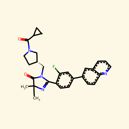 CC1(C)N=C(c2ccc(-c3ccc4ncccc4c3)cc2F)N(C[C@@H]2CCN(C(=O)C3CC3)C2)C1=O